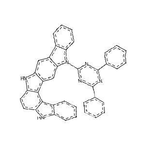 c1ccc(-c2nc(-c3ccccc3)nc(-n3c4ccccc4c4cc5[nH]c6ccc7[nH]c8ccccc8c7c6c5cc43)n2)cc1